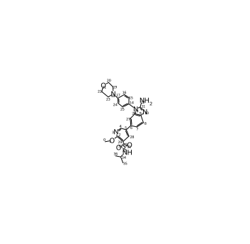 COc1ncc(-c2ccc3nc(N)n(-c4ccc(N5CCOCC5)cc4)c3c2)cc1S(=O)(=O)NC(C)C